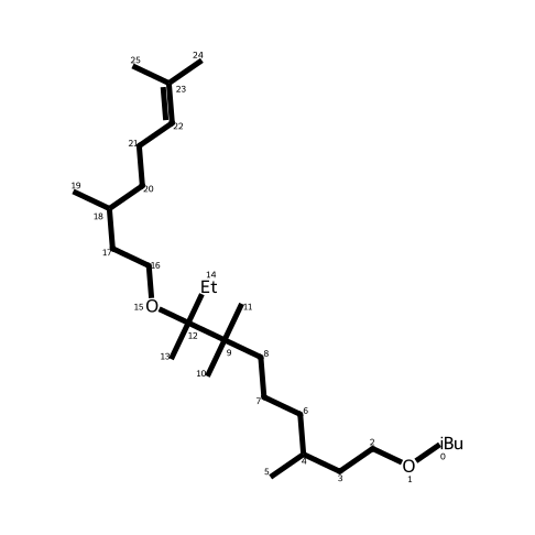 CCC(C)OCCC(C)CCCC(C)(C)C(C)(CC)OCCC(C)CCC=C(C)C